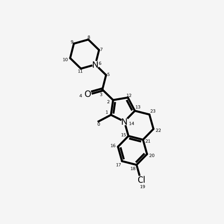 Cc1c(C(=O)CN2CCCCC2)cc2n1-c1ccc(Cl)cc1CC2